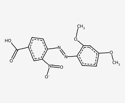 COc1ccc(/N=N/c2ccc(C(=O)O)cc2[N+](=O)[O-])c(OC)c1